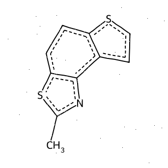 Cc1nc2c(ccc3sccc32)s1